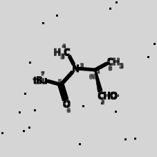 C[C@@H]([C]=O)N(C)C(=O)C(C)(C)C